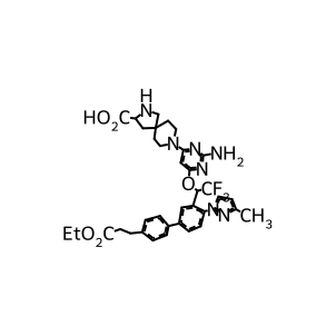 CCOC(=O)CCc1ccc(-c2ccc(-n3ccc(C)n3)c(C(Oc3cc(N4CCC5(CC4)CNC(C(=O)O)C5)nc(N)n3)C(F)(F)F)c2)cc1